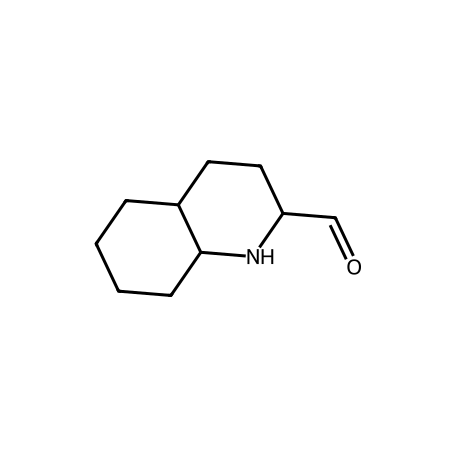 O=CC1CCC2CCCCC2N1